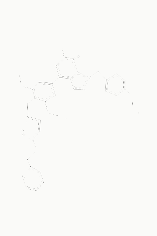 COc1ccc(Cn2ncc3c(-c4cc(OC)c(Cc5ccc(OCc6ccccc6)cc5)c(OC)c4)cn(C)c(=O)c32)cc1